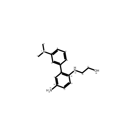 CN(C)c1cccc(-c2cc(N)ccc2NCCO)c1